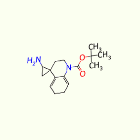 CC(C)(C)OC(=O)N1CCC2(CC2N)C2=CCCC=C21